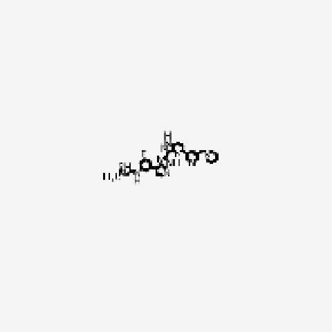 CN(C)CCNc1cc(F)cc(-c2ccnc3[nH]c(-c4n[nH]c5ccc(-c6cncc(CN7CCCCC7)c6)nc45)nc23)c1